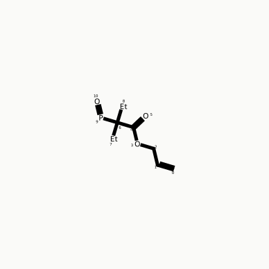 C=CCOC(=O)C(CC)(CC)P=O